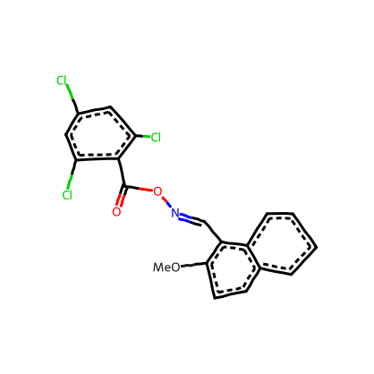 COc1ccc2ccccc2c1/C=N/OC(=O)c1c(Cl)cc(Cl)cc1Cl